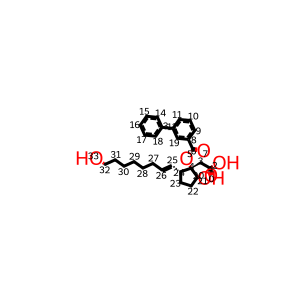 O=C(O)C[C@@]1(OC(=O)c2cccc(-c3ccccc3)c2)[C@@H](O)CC[C@@H]1C=CCCCCCCO